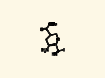 COC(=O)C1COC(C(=N)I)=C(N)C1